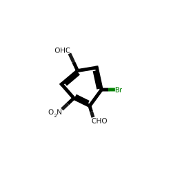 O=Cc1cc(Br)c(C=O)c([N+](=O)[O-])c1